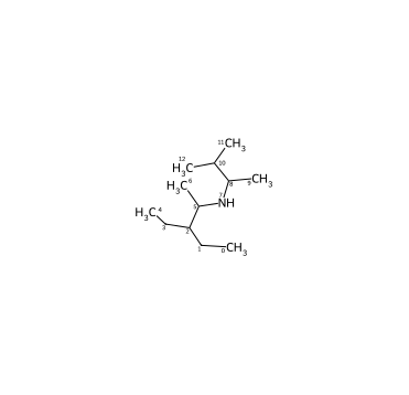 CCC(CC)C(C)NC(C)C(C)C